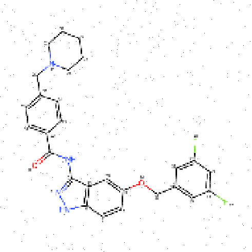 O=C(Nc1n[nH]c2ccc(OCc3cc(F)cc(F)c3)cc12)c1ccc(CN2CCCCC2)cc1